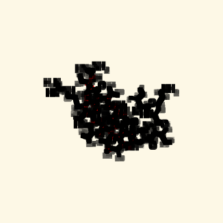 CC[C@H](C)[C@H](N)C(=O)N[C@@H](CCCCN)C(=O)N[C@H](C(=O)NCC(=O)N[C@H](C(=O)N[C@@H](CC(N)=O)C(=O)NCC(=O)N[C@@H](Cc1ccccc1)C(=O)NCC(=O)N[C@@H](CCCNC(=N)N)C(=O)N[C@H](C(=O)NCC(=O)N[C@@H](CCCNC(=N)N)C(=O)N[C@@H](CC(C)C)C(=O)N[C@H](C(=O)N[C@@H](C)C(=O)N[C@@H](CCCNC(=N)N)C(=O)N[C@H](C(=O)O)C(C)C)C(C)C)[C@@H](C)CC)[C@@H](C)CC)[C@@H](C)CC